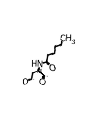 CCCCCC(=O)N[C@@H]([C]=O)C[C]=O